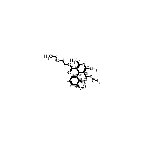 CCOCCOC(=O)C1=C(C)NC(C)=C(C(=O)OC)C1c1cccc2nonc12